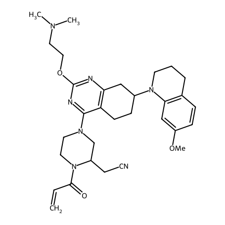 C=CC(=O)N1CCN(c2nc(OCCN(C)C)nc3c2CCC(N2CCCc4ccc(OC)cc42)C3)CC1CC#N